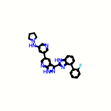 Fc1ccccc1-c1cccc2[nH]c(-c3n[nH]c4ncc(-c5cncc(NN6CCCC6)c5)cc34)nc12